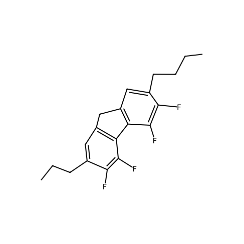 CCCCc1cc2c(c(F)c1F)-c1c(cc(CCC)c(F)c1F)C2